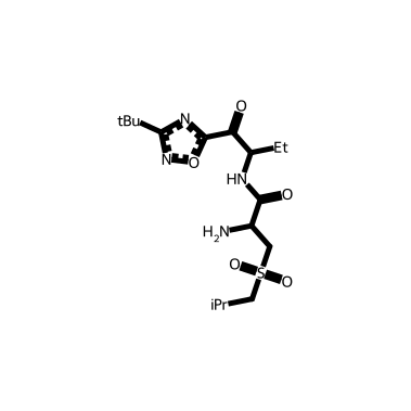 CCC(NC(=O)C(N)CS(=O)(=O)CC(C)C)C(=O)c1nc(C(C)(C)C)no1